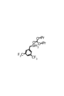 CC(C)OC(O[SiH2]Cc1cc(C(F)(F)F)cc(C(F)(F)F)c1)OC(C)C